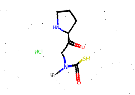 CC(C)N(CC(=O)[C@@H]1CCCN1)C(=O)S.Cl